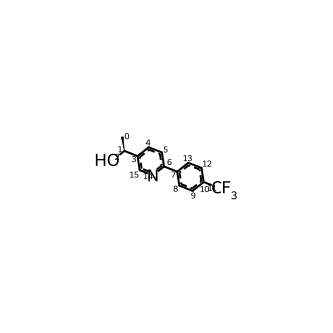 C[C@H](O)c1ccc(-c2ccc(C(F)(F)F)cc2)nc1